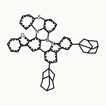 c1ccc2c(c1)Sc1cccc3c1N2c1c2c(cc4c1oc1ccccc14)-c1cc(C45CC6CC(CC(C6)C4)C5)cc4c5cc(C67CC8CC(CC(C8)C6)C7)ccc5n(c14)B32